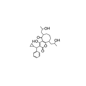 CC(O)CC1CCCC(CC(C)O)c2oc(=O)c(C(c3ccccc3)C3CC3)c(O)c2C1=O